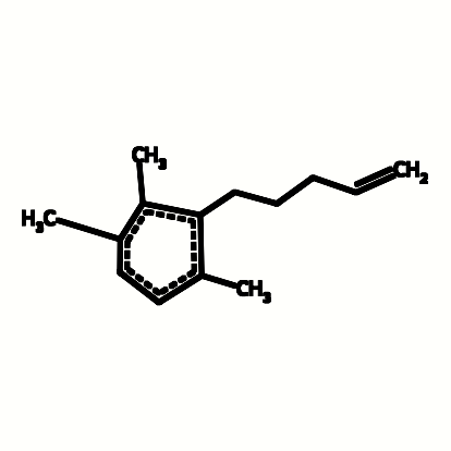 C=CCCCc1c(C)ccc(C)c1C